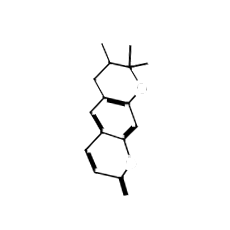 C=C1C=Cc2cc3c(cc2O1)OC(C)(C)C(C)C3